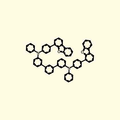 c1ccc(N(c2ccc(-c3cccc4c3oc3ccccc34)cc2)c2cccc(-c3cccc(-c4cccc(N(c5ccccc5)c5ccc(-c6cccc7c6oc6ccccc67)cc5)c4)c3)c2)cc1